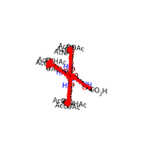 CC(=O)N[C@H]1[C@H](OCCOCCOCCNC(=O)CCO[C@@H]2[C@H](OCCC(=O)NCCOCCOCCO[C@@H]3O[C@H](COC(C)=O)[C@H](OC(C)=O)[C@H](OC(C)=O)[C@H]3NC(C)=O)C=C(C(=O)NCCCCCCNC(=O)CCCCC(=O)O)C[C@H]2OCCC(=O)NCCOCCOCCO[C@@H]2O[C@H](COC(C)=O)[C@H](OC(C)=O)[C@H](OC(C)=O)[C@H]2NC(C)=O)O[C@H](COC(C)=O)[C@H](OC(C)=O)[C@@H]1OC(C)=O